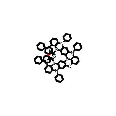 c1ccc(N2c3cc4c(cc3B3c5cc6c(cc5Oc5cccc2c53)N(c2ccccc2)c2cccc3c2B6c2sc5ccccc5c2N3c2ccccc2)B2c3sc5ccccc5c3N(c3ccccc3)c3cccc(c32)N4c2ccccc2)cc1